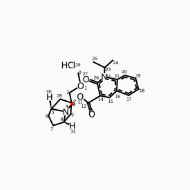 COCCN1[C@@H]2CC[C@H]1C[C@@H](OC(=O)c1cc3ccccc3n(C(C)C)c1=O)C2.Cl